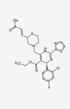 CCOC(=O)C1=C(CN2CCOC(/C=C/C(=O)O)C2)NC(c2nccs2)=N[C@H]1c1ccc(F)cc1Cl